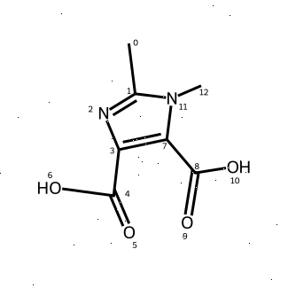 Cc1nc(C(=O)O)c(C(=O)O)n1C